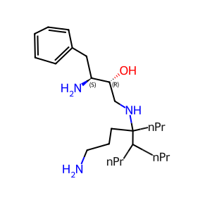 CCCC(CCC)C(CCC)(CCCN)NC[C@@H](O)[C@@H](N)Cc1ccccc1